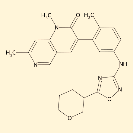 Cc1cc2c(cn1)cc(-c1cc(Nc3noc(C4CCCOC4)n3)ccc1C)c(=O)n2C